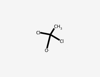 CC([O])(Cl)Cl